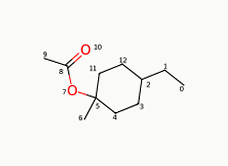 CCC1CCC(C)(OC(C)=O)CC1